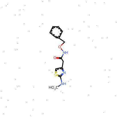 O=C(O)Nc1nc(CC(=O)NOCc2ccccc2)cs1